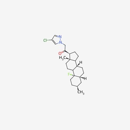 C[C@H]1CC[C@]2(F)C3CC[C@@]4(C)C(CC[C@@H]4C(=O)Cn4cc(Cl)cn4)[C@@H]3CC[C@@H]2C1